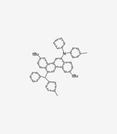 Cc1ccc(C(c2ccccc2)c2cc3c4cc(C(C)(C)C)ccc4c(N(c4ccccc4)c4ccc(C)cc4)cc3c3cc(C(C)(C)C)ccc23)cc1